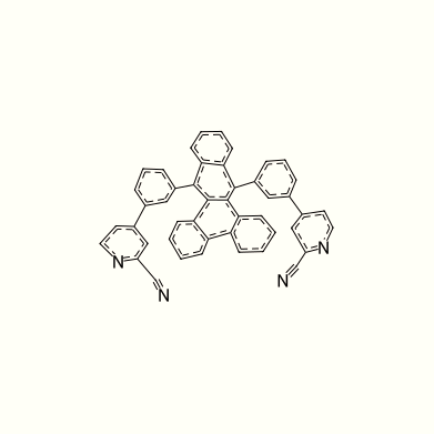 N#Cc1cc(-c2cccc(-c3c4ccccc4c(-c4cccc(-c5ccnc(C#N)c5)c4)c4c5ccccc5c5ccccc5c34)c2)ccn1